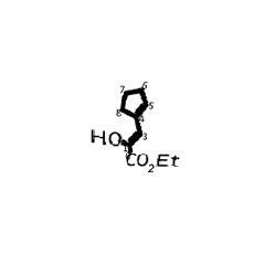 CCOC(=O)C(O)=CC1=CCCC1